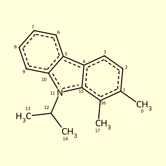 Cc1ccc2c3ccccc3n(C(C)C)c2c1C